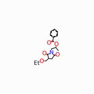 CCOCC1CC(=O)N(CC(C)OC(=O)c2ccccc2)C1=O